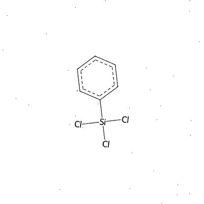 Cl[Si](Cl)(Cl)c1[c]cccc1